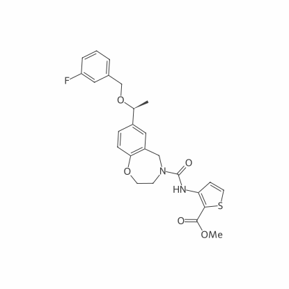 COC(=O)c1sccc1NC(=O)N1CCOc2ccc([C@H](C)OCc3cccc(F)c3)cc2C1